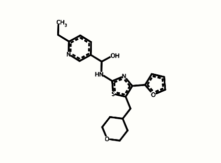 CCc1ccc(C(O)Nc2nc(-c3ccco3)c(CC3CCOCC3)s2)cn1